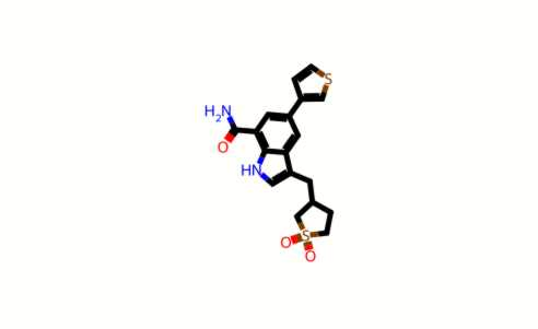 NC(=O)c1cc(-c2ccsc2)cc2c(CC3CCS(=O)(=O)C3)c[nH]c12